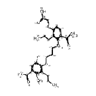 CCCc1c(O)c(C(C)=O)cc(I)c1OCCCOc1c(C(C)=O)ccc(OCC(=O)O)c1CCC